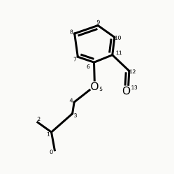 CC(C)CCOc1ccccc1C=O